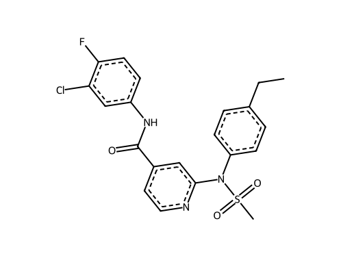 CCc1ccc(N(c2cc(C(=O)Nc3ccc(F)c(Cl)c3)ccn2)S(C)(=O)=O)cc1